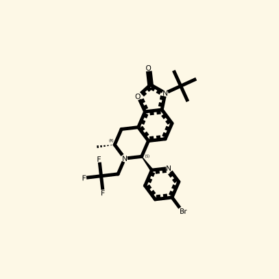 C[C@@H]1Cc2c(ccc3c2oc(=O)n3C(C)(C)C)[C@@H](c2ccc(Br)cn2)N1CC(F)(F)F